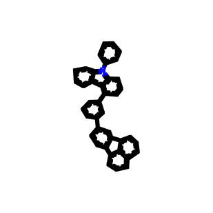 c1ccc(-n2c3ccccc3c3c(-c4cccc(-c5ccc6c(c5)-c5cccc7cccc-6c57)c4)cccc32)cc1